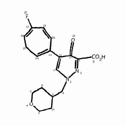 O=C(O)c1nn(CC2CCOCC2)cc(C2=CCC=C(F)C=C2)c1=O